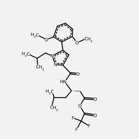 COc1cccc(OC)c1-c1cc(C(=O)N[C@H](CC(=O)OC(=O)C(F)(F)F)CC(C)C)nn1CC(C)C